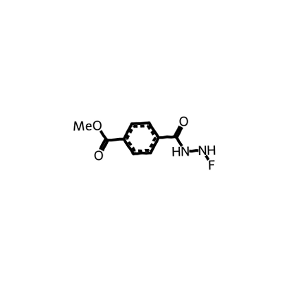 COC(=O)c1ccc(C(=O)NNF)cc1